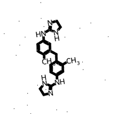 Cc1cc(NC2=NCCN2)ccc1Cc1cc(NC2=NCCN2)ccc1C